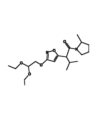 CCOC(COc1cc(C(C(=O)N2CCCC2C)C(C)C)on1)OCC